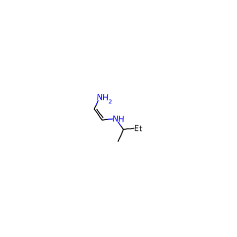 CCC(C)N/C=C\N